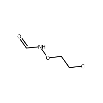 O=CNOCCCl